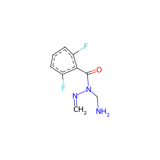 C=NN(CN)C(=O)c1c(F)cccc1F